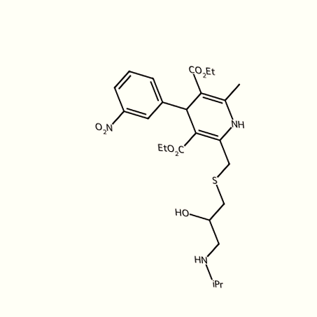 CCOC(=O)C1=C(C)NC(CSCC(O)CNC(C)C)=C(C(=O)OCC)C1c1cccc([N+](=O)[O-])c1